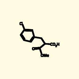 COC(=O)C(Cc1cccc(Cl)c1)C(=O)O